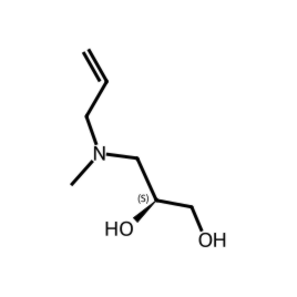 C=CCN(C)C[C@H](O)CO